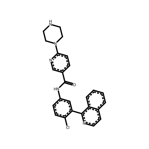 O=C(Nc1ccc(Cl)c(-c2nccc3ccccc23)c1)c1ccc(N2CCNCC2)nc1